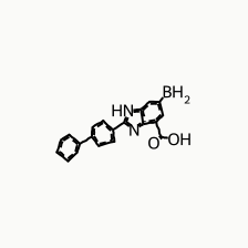 Bc1cc(C(=O)O)c2nc(-c3ccc(-c4ccccc4)cc3)[nH]c2c1